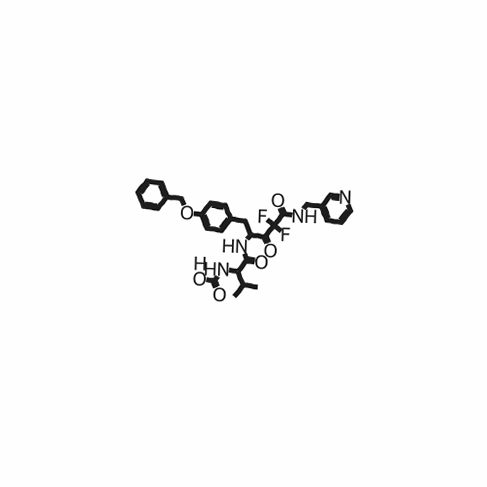 CC(C)C(NC(=O)O)C(=O)NC(Cc1ccc(OCc2ccccc2)cc1)C(=O)C(F)(F)C(=O)NCc1cccnc1